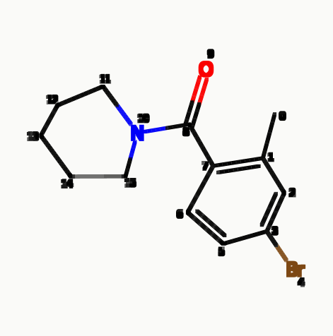 Cc1cc(Br)ccc1C(=O)N1CCCCC1